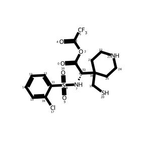 O=C(OC(=O)C(F)(F)F)[C@@H](NS(=O)(=O)c1ccccc1Cl)C1(CS)CCNCC1